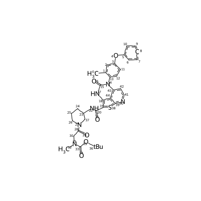 Cc1cc(Oc2ccccc2)ccc1N1C(=O)Nc2c(C(=O)NC3CCCN(C(=O)CN(C)C(=O)OC(C)(C)C)C3)sc3nccc1c23